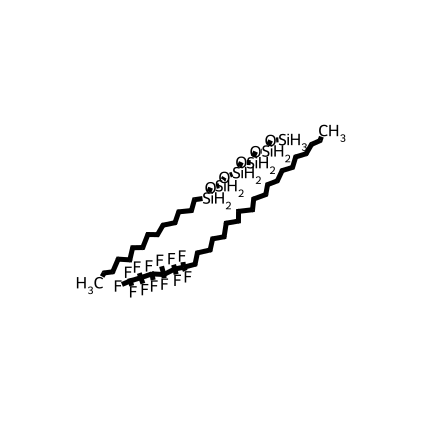 CCCCCCCCCCCCCCCCCCCCC(F)(F)C(F)(F)C(F)(F)C(F)(F)C(F)(F)C(F)(F)F.CCCCCCCCCCCCCC[SiH2]O[SiH2]O[SiH2]O[SiH2]O[SiH2]O[SiH3]